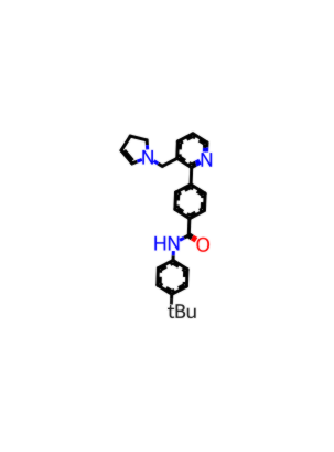 CC(C)(C)c1ccc(NC(=O)c2ccc(-c3ncccc3CN3C=CCC3)cc2)cc1